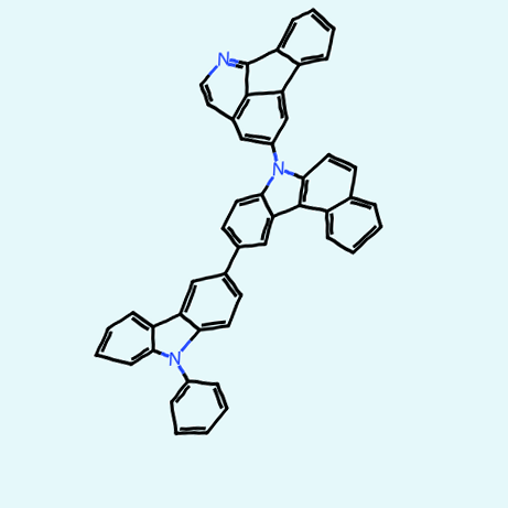 c1ccc(-n2c3ccccc3c3cc(-c4ccc5c(c4)c4c6ccccc6ccc4n5-c4cc5c6c(nccc6c4)-c4ccccc4-5)ccc32)cc1